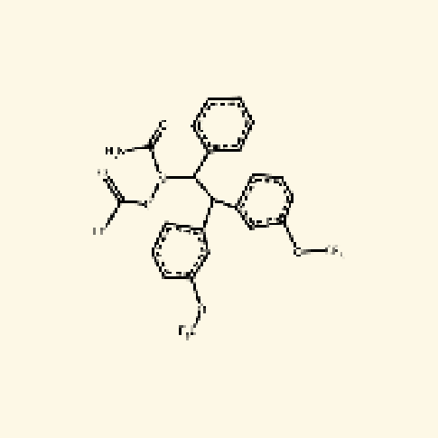 CCC(=O)ON(C(N)=O)C(c1ccccc1)C(c1cccc(OC(F)(F)F)c1)c1cccc(OC(F)(F)F)c1